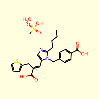 CCCCc1ncc(/C=C(\Cc2cccs2)C(=O)O)n1Cc1ccc(C(=O)O)cc1.CS(=O)(=O)O.O